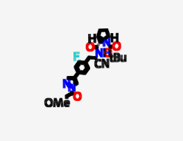 COCC(=O)n1cc(-c2ccc(C[C@@H](C#N)NC(=O)[C@@H]3[C@H]4CC[C@H](C4)N3C(=O)OC(C)(C)C)c(F)c2)cn1